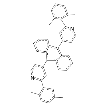 Cc1ccc(C)c(-c2cc(-c3c4ccccc4c(-c4ccnc(-c5c(C)cccc5C)c4)c4ccccc34)ccn2)c1